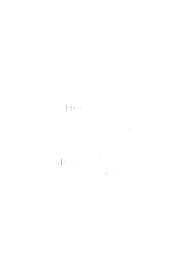 CC(C)COC(=O)C1SCCC1O